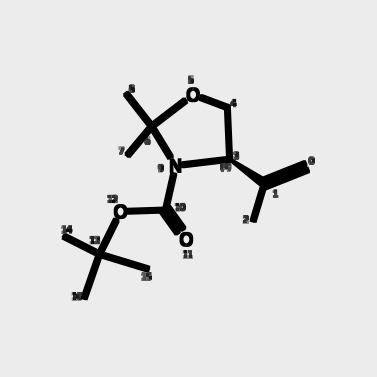 C=C(C)[C@@H]1COC(C)(C)N1C(=O)OC(C)(C)C